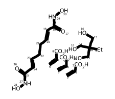 C=CC(=O)O.C=CC(=O)O.C=CC(=O)O.CCC(CO)(CO)CO.O=C(C=CCCC=CC(=O)NO)NO